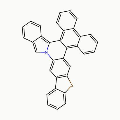 c1ccc2c(c1)cn1c3cc4c(cc3c3c5ccccc5c5ccccc5c3c21)sc1ccccc14